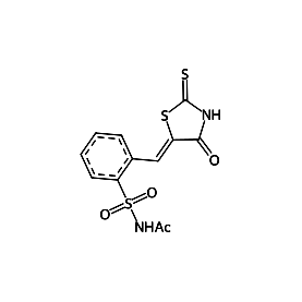 CC(=O)NS(=O)(=O)c1ccccc1/C=C1\SC(=S)NC1=O